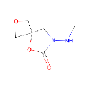 CNN1CC2(COC2)OC1=O